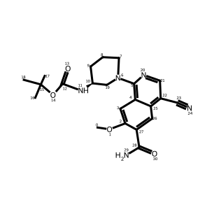 COc1cc2c(N3CCC[C@H](NC(=O)OC(C)(C)C)C3)ncc(C#N)c2cc1C(N)=O